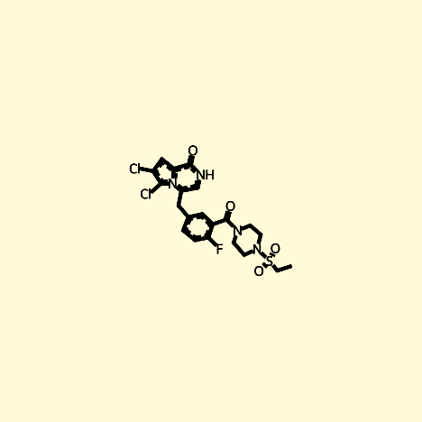 CCS(=O)(=O)N1CCN(C(=O)c2cc(Cc3c[nH]c(=O)c4cc(Cl)c(Cl)n34)ccc2F)CC1